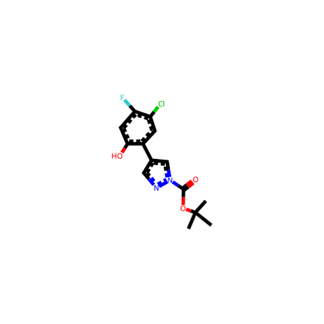 CC(C)(C)OC(=O)n1cc(-c2cc(Cl)c(F)cc2O)cn1